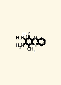 Cc1c(N)c(N)c(C)c2nc3ccccc3nc12